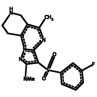 CNc1nn2c3c(c(C)nc2c1S(=O)(=O)c1cccc(F)c1)CNCC3